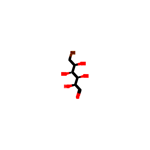 O=C[C@@H](O)[C@@H](O)[C@H](O)[C@H](O)CS